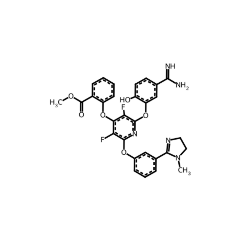 COC(=O)c1ccccc1Oc1c(F)c(Oc2cccc(C3=NCCN3C)c2)nc(Oc2cc(C(=N)N)ccc2O)c1F